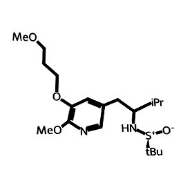 COCCCOc1cc(CC(N[S@@+]([O-])C(C)(C)C)C(C)C)cnc1OC